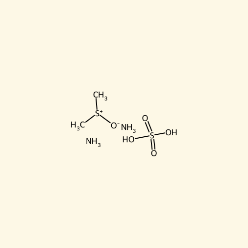 C[S+](C)[O-].N.N.O=S(=O)(O)O